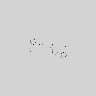 CC(=O)Nc1ccccc1-c1ccc(-c2cccc(-c3ccc(-c4ccccc4NC(C)=O)[nH]3)c2)[nH]1